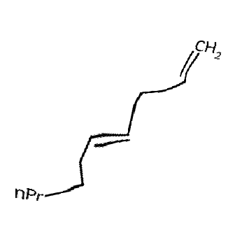 [CH2]CCC/C=C/CC=C